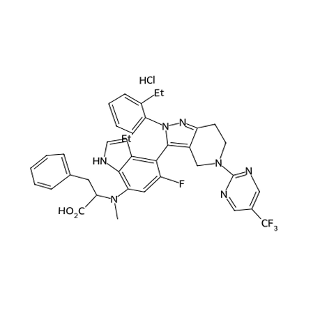 CCc1cccc(CC)c1-n1nc2c(c1-c1c(F)cc(N(C)C(Cc3ccccc3)C(=O)O)c3[nH]ccc13)CN(c1ncc(C(F)(F)F)cn1)CC2.Cl